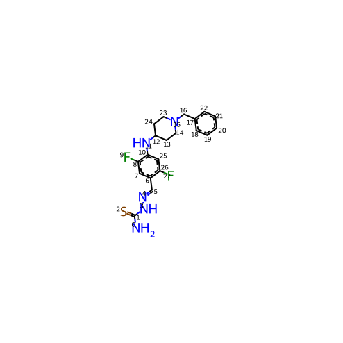 NC(=S)N/N=C/c1cc(F)c(NC2CCN(Cc3ccccc3)CC2)cc1F